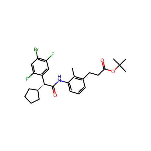 Cc1c(CCC(=O)OC(C)(C)C)cccc1NC(=O)[C@@H](c1cc(F)c(Br)cc1F)C1CCCC1